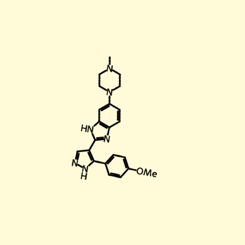 COc1ccc(-c2[nH]ncc2-c2nc3ccc(N4CCN(C)CC4)cc3[nH]2)cc1